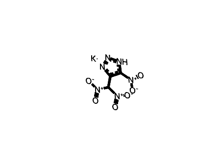 O=[N+]([O-])c1[nH]nnc1C([N+](=O)[O-])[N+](=O)[O-].[K]